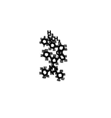 CC1(C)c2ccccc2-c2ccc(-c3cccc4c3oc3c(-c5cc(-c6ccccc6)cc(-c6nc(-c7ccccc7)nc(-c7ccccc7)n6)c5)cccc34)cc21